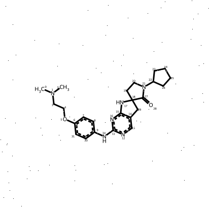 CN(C)CCOc1ccc(Nc2ncc3c(n2)NC2(CCN(C4CCCC4)C2=O)C3)cc1